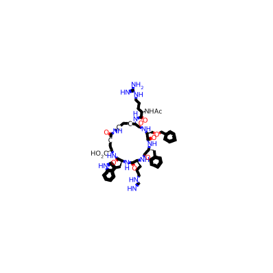 CC(=O)N[C@@H](CCCNC(=N)N)C(=O)N[C@H]1CCCNC(=O)CC[C@@H](C(=O)O)NC(=O)[C@H](Cc2c[nH]c3ccccc23)NC(=O)[C@H](CCCNC=N)NC(=O)[C@@H](Cc2ccccc2)NC(=O)[C@H](COCc2ccccc2)NC1=O